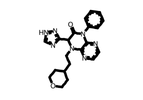 O=C1C(c2nc[nH]n2)N(CCC2CCOCC2)c2nccnc2N1c1ccccc1